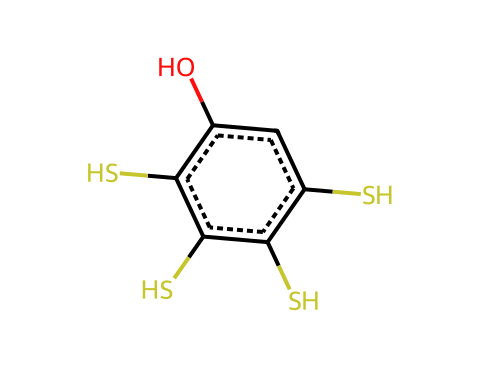 Oc1cc(S)c(S)c(S)c1S